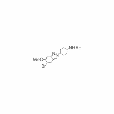 COc1cc2nn(C3CCC(NC(C)=O)CC3)cc2cc1Br